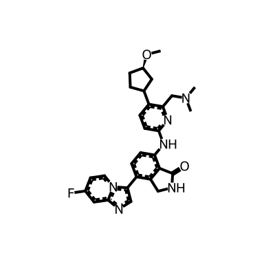 CO[C@@H]1CCC(c2ccc(Nc3ccc(-c4cnc5cc(F)ccn45)c4c3C(=O)NC4)nc2CN(C)C)C1